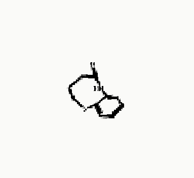 O=C1CCCSc2ccccc2N1